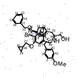 COc1ccc(CS[C@@H]2C/C(=N/OCc3ccccc3)C[C@H]3Oc4c(Br)c(OCC5CC5)cc5c4[C@]32C[C@@H](CO)NC5)cc1